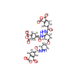 O=C(Nc1ccc(Oc2ccc(NC(=O)c3ccc4c(c3)C(=O)OC4=O)c(NC(=O)c3ccc4c(c3)C(=O)OC4=O)c2)cc1)c1ccc2c(c1)C(=O)OC2=O